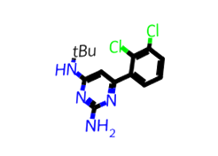 CC(C)(C)Nc1cc(-c2cccc(Cl)c2Cl)nc(N)n1